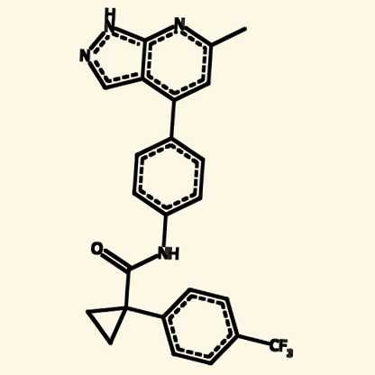 Cc1cc(-c2ccc(NC(=O)C3(c4ccc(C(F)(F)F)cc4)CC3)cc2)c2cn[nH]c2n1